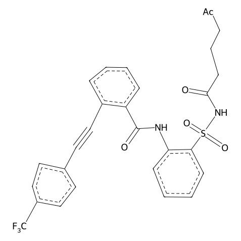 CC(=O)CCCC(=O)NS(=O)(=O)c1ccccc1NC(=O)c1ccccc1C#Cc1ccc(C(F)(F)F)cc1